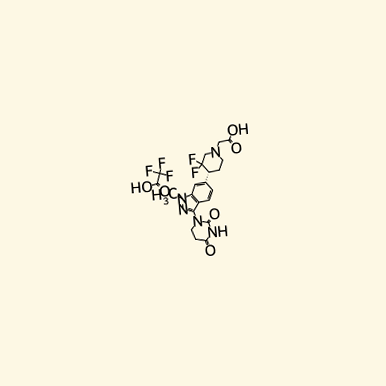 Cn1nc(N2CCC(=O)NC2=O)c2ccc([C@H]3CCN(CC(=O)O)CC3(F)F)cc21.O=C(O)C(F)(F)F